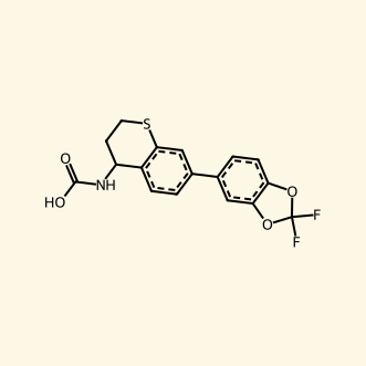 O=C(O)NC1CCSc2cc(-c3ccc4c(c3)OC(F)(F)O4)ccc21